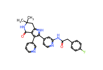 CC1(C)Cc2[nH]c(-c3ccnc(NC(=O)Cc4ccc(F)cc4)c3)c(-c3cccnc3)c2C(=O)N1